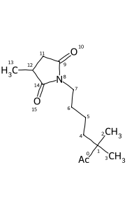 CC(=O)C(C)(C)CCCCN1C(=O)CC(C)C1=O